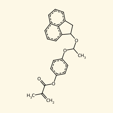 C=C(C)C(=O)Oc1ccc(OC(C)OC2Cc3cccc4cccc2c34)cc1